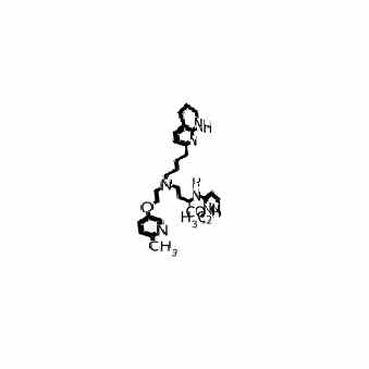 Cc1ccc(OCCN(CCCCc2ccc3c(n2)NCCC3)CC[C@H](Nc2ccnn2C)C(=O)O)cn1